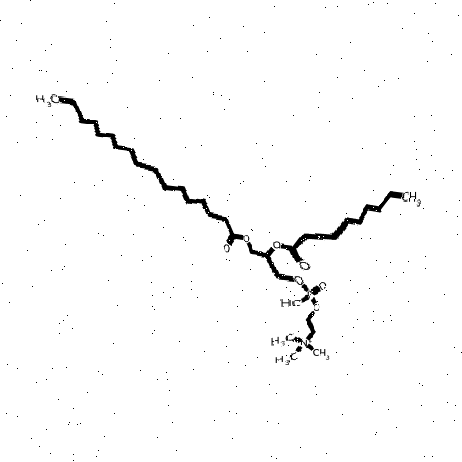 CCCCCCCCCCCCCCCCC(=O)OCC(COP(=O)(O)OCC[N+](C)(C)C)OC(=O)CCCCCCCC